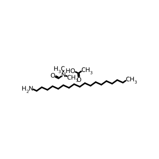 CC(=O)O.CCCCCCCCCCCCCCCCCCN.CN(C)C=O